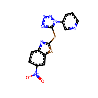 O=[N+]([O-])c1ccc2nc(Sc3nnnn3-c3cccnc3)sc2c1